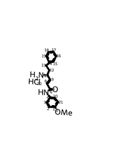 COc1ccc(NC(=O)C=C[C@@H](N)CCc2ccccc2)cc1.Cl